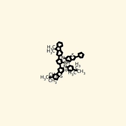 CC(C)(C)c1ccc(Nc2cc3sc4ccc(C(C)(C)C)cc4c3cc2-c2ccc3c4cc5c(cc4n4c3c2Bc2cc3cc(-c6ccccc6)sc3cc2-4)-c2ccccc2C5(C)C)cc1